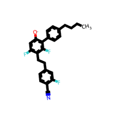 CCCCc1ccc(-c2c([O])cc(F)c(CCc3ccc(C#N)c(F)c3)c2F)cc1